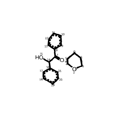 C1CCOCC1.O=C(c1ccccc1)C(O)c1ccccc1